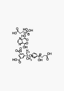 CC(C)(C)c1cc(C(=O)O)cc(C(=O)O)c1.O=C(O)CCOP(=O)(O)O.O=C(O)CCP(=O)(O)c1ccccc1.O=C(O)c1nccnc1C(=O)O